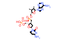 C[C@@H]1[C@H](C)[C@@H](COP(=O)(O)C[C@H]2C[C@H](n3ccc(N)nc3=O)O[C@@H]2COP(=O)(O)O)O[C@H]1n1cnc2c(N)ncnc21